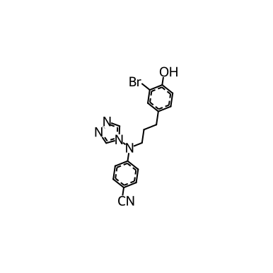 N#Cc1ccc(N(CCCc2ccc(O)c(Br)c2)n2cnnc2)cc1